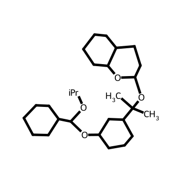 CC(C)OC(OC1CCCC(C(C)(C)OC2CCC3CCCCC3O2)C1)C1CCCCC1